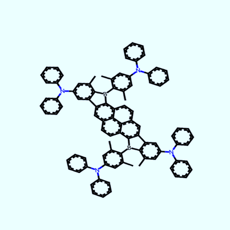 Cc1cc(N(c2ccccc2)c2ccccc2)cc(C)c1B1c2c(C)cc(N(c3ccccc3)c3ccccc3)cc2-c2cc3ccc4c5c(cc6ccc(c21)c3c64)-c1cc(N(c2ccccc2)c2ccccc2)cc(C)c1B5c1c(C)cc(N(c2ccccc2)c2ccccc2)cc1C